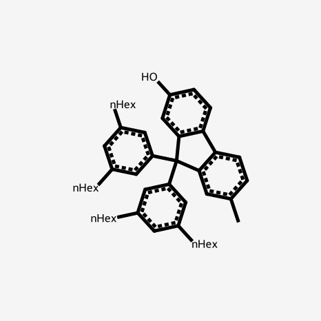 CCCCCCc1cc(CCCCCC)cc(C2(c3cc(CCCCCC)cc(CCCCCC)c3)c3cc(C)ccc3-c3ccc(O)cc32)c1